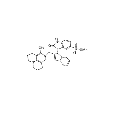 CNS(=O)(=O)c1ccc2c(c1)C(C1C(Cc3cc4c5c(c3O)CCCN5CCC4)=Cc3ccccc31)C(=O)N2